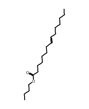 CCCCCCC=CCCCCCCC(=O)OCCCC